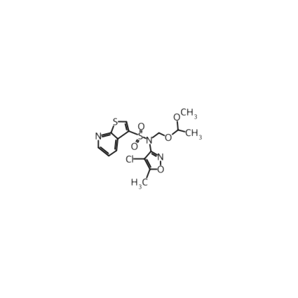 COC(C)OCN(c1noc(C)c1Cl)S(=O)(=O)c1csc2ncccc12